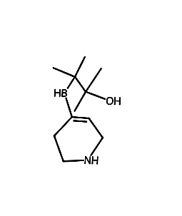 CC(C)(O)C(C)(C)BC1=CCNCC1